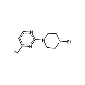 CCN1CCN(c2nccc(C(C)C)n2)CC1